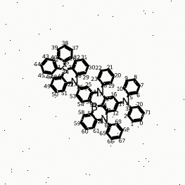 c1ccc(N(c2ccccc2)c2cc3c4c(c2)N(c2ccccc2)c2cc(N5c6ccccc6S(c6ccccc6)(c6ccccc6)c6ccccc65)ccc2B4c2ccccc2N3c2ccccc2)cc1